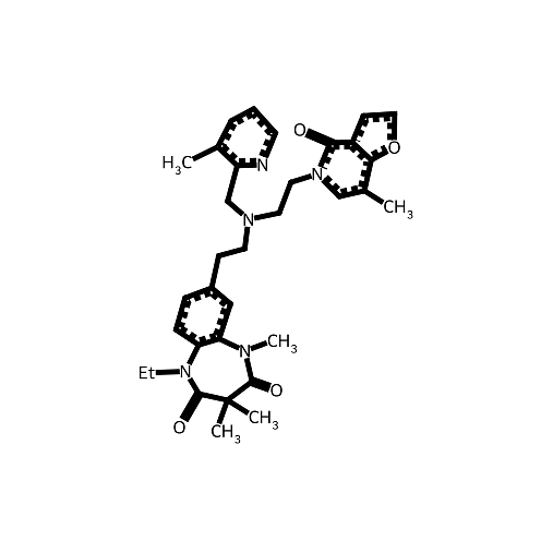 CCN1C(=O)C(C)(C)C(=O)N(C)c2cc(CCN(CCn3cc(C)c4occc4c3=O)Cc3ncccc3C)ccc21